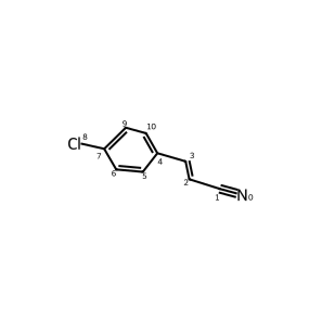 N#CC=Cc1ccc(Cl)cc1